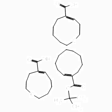 CC(C)(C)OC(=O)C1=CCCCCCCCC1.O=C(O)C1=CCCCCCCCC1.O=C(O)C1=CCCCCCCCC1